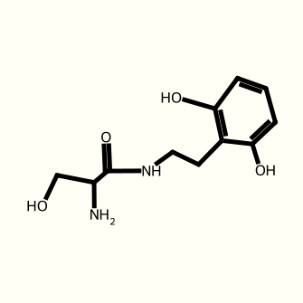 NC(CO)C(=O)NCCc1c(O)cccc1O